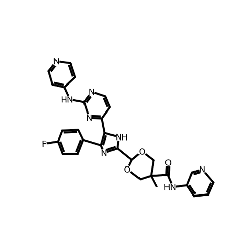 CC1(C(=O)Nc2cccnc2)COC(c2nc(-c3ccc(F)cc3)c(-c3ccnc(Nc4ccncc4)n3)[nH]2)OC1